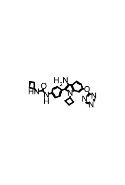 Nc1c(-c2ccc(NC(=O)NC3CCC3)cc2)n(C2CCC2)c2cc(Oc3ncncn3)ccc12